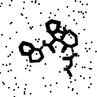 CNCC(=O)N[C@H]1CCO[C@H]2c3ccccc3C(C(=O)N[C@@H]3CCCc4ccccc43)N2C1=O